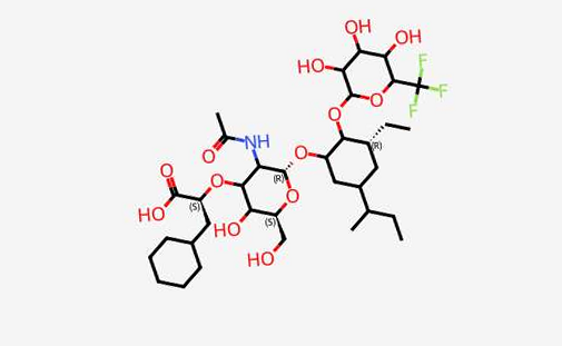 CCC(C)C1CC(O[C@@H]2O[C@@H](CO)C(O)C(O[C@@H](CC3CCCCC3)C(=O)O)C2NC(C)=O)C(OC2OC(C(F)(F)F)C(O)C(O)C2O)[C@H](CC)C1